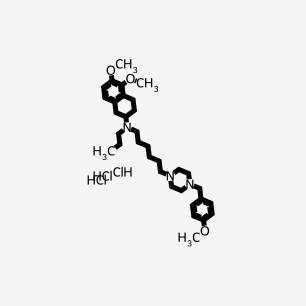 CCCN(CCCCCCN1CCN(Cc2ccc(OC)cc2)CC1)C1CCc2c(ccc(OC)c2OC)C1.Cl.Cl.Cl